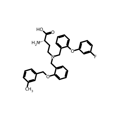 Cc1cccc(COc2ccccc2CN(CC[C@H](N)C(=O)O)Cc2ccccc2Oc2cccc(F)c2)c1